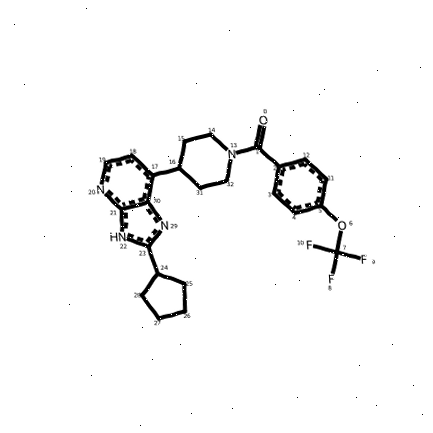 O=C(c1ccc(OC(F)(F)F)cc1)N1CCC(c2ccnc3[nH]c(C4CCCC4)nc23)CC1